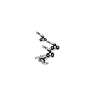 CN(C)CCOCc1scc2c1-c1ccccc1Sc1ccccc1-2.CN(C)CCOCc1scc2c1-c1ccccc1Sc1ccccc1-2.CN(C)CCOCc1scc2c1-c1ccccc1Sc1ccccc1-2.O=C(O)CC(O)(CC(=O)O)C(=O)O